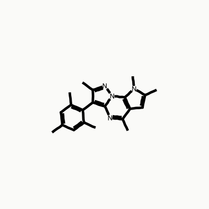 Cc1cc(C)c(-c2c(C)nn3c2nc(C)c2cc(C)n(C)c23)c(C)c1